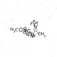 CC[C@@H]1C[C@H](N(CC2CC2)CC(F)(F)F)C[C@@H]1c1nnc2cnc3c(ccn3S(=O)(=O)c3ccc(C)cc3)n12